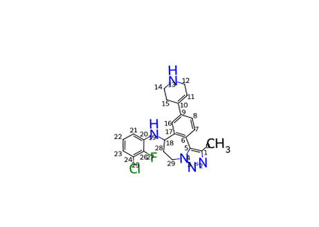 Cc1nnn2c1-c1ccc(C3=CCNCC3)cc1C(Nc1cccc(Cl)c1F)CC2